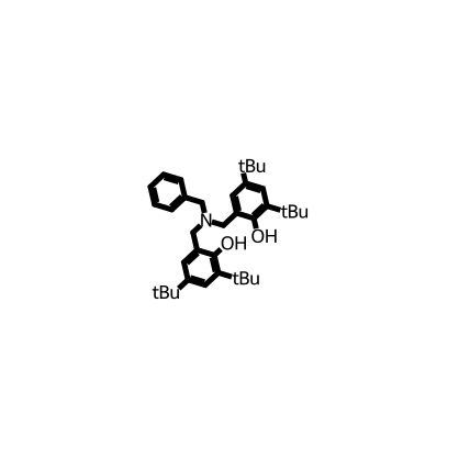 CC(C)(C)c1cc(CN(Cc2ccccc2)Cc2cc(C(C)(C)C)cc(C(C)(C)C)c2O)c(O)c(C(C)(C)C)c1